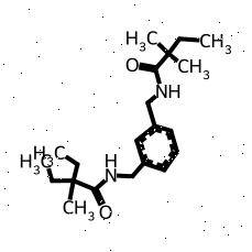 CCC(C)(C)C(=O)NCc1cccc(CNC(=O)C(C)(CC)CC)c1